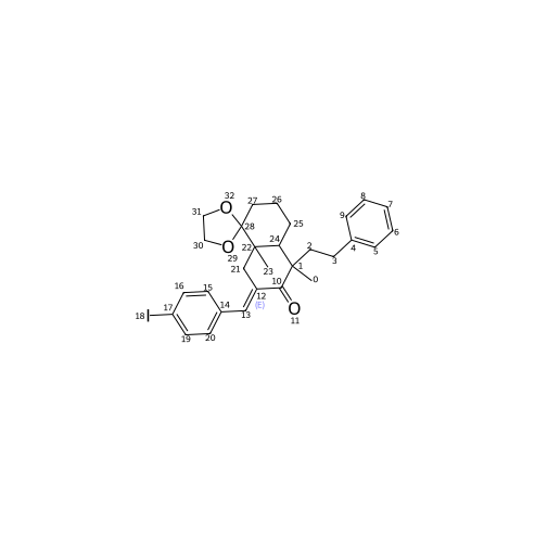 CC1(CCc2ccccc2)C(=O)/C(=C/c2ccc(I)cc2)CC2(C)C1CCCC21OCCO1